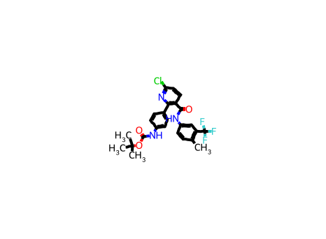 Cc1ccc(NC(=O)c2ccc(Cl)nc2-c2ccc(NC(=O)OC(C)(C)C)cc2)cc1C(F)(F)F